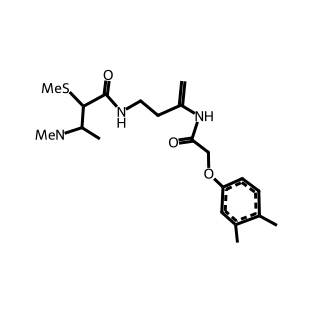 C=C(CCNC(=O)C(SC)C(C)NC)NC(=O)COc1ccc(C)c(C)c1